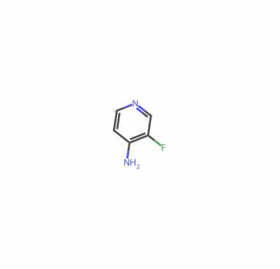 Nc1c[c]ncc1F